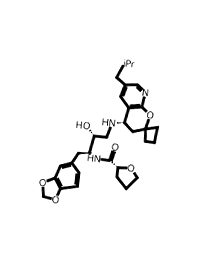 CC(C)Cc1cnc2c(c1)[C@@H](NC[C@@H](O)[C@H](Cc1ccc3c(c1)OCO3)NC(=O)[C@H]1CCCO1)CC1(CCC1)O2